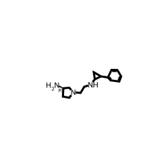 N[C@@H]1CCN(CCNC2CC2c2ccccc2)C1